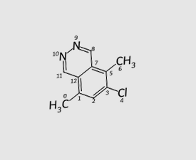 Cc1cc(Cl)c(C)c2cnncc12